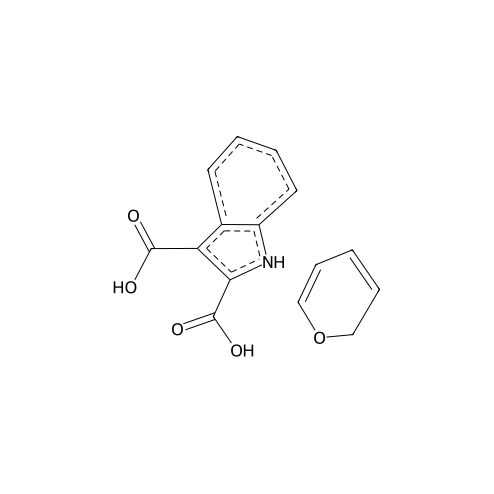 C1=CCOC=C1.O=C(O)c1[nH]c2ccccc2c1C(=O)O